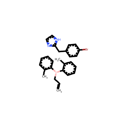 Brc1ccc(Cc2ncc[nH]2)cc1.C=CCB(c1ccccc1C)c1ccccc1C